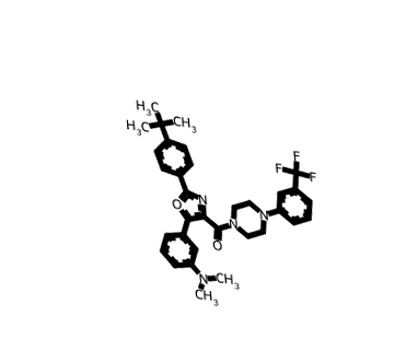 CN(C)c1cccc(-c2oc(-c3ccc(C(C)(C)C)cc3)nc2C(=O)N2CCN(c3cccc(C(F)(F)F)c3)CC2)c1